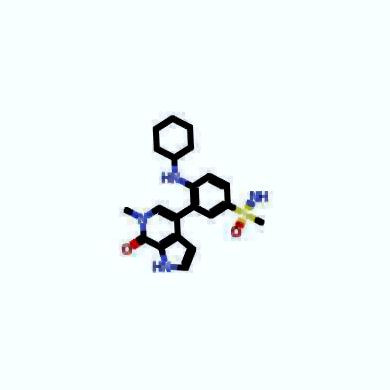 Cn1cc(-c2cc(S(C)(=N)=O)ccc2NC2CCCCC2)c2cc[nH]c2c1=O